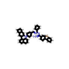 N=C(/N=C(\N=C\c1ccc(N2c3cc4ccccc4cc3-c3cccc4cccc2c34)cc1)c1ccccc1)c1ccc2c(c1)sc1ccccc12